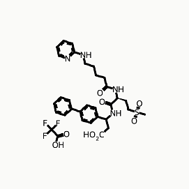 CS(=O)(=O)CC[C@H](NC(=O)CCCCNc1ccccn1)C(=O)NC(CC(=O)O)c1ccc(-c2ccccc2)cc1.O=C(O)C(F)(F)F